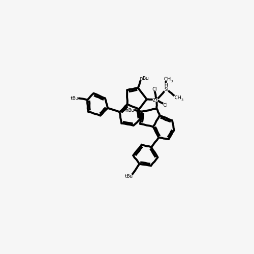 CCCCC1=Cc2c(-c3ccc(C(C)(C)C)cc3)cccc2[CH]1[Zr]([Cl])([Cl])([CH]1C(CCCC)=Cc2c(-c3ccc(C(C)(C)C)cc3)cccc21)[SiH](C)C